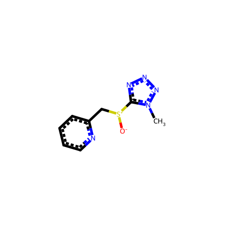 Cn1nnnc1[S+]([O-])Cc1ccccn1